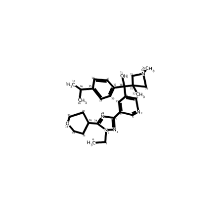 CCn1nc(-c2cncc(C(O)(c3ccc(C(C)C)cc3)C3(C)CN(C)C3)c2)nc1C1CCOCC1